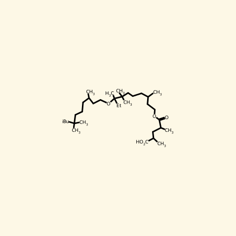 CCC(C)C(C)(C)CCCC(C)CCOC(C)(CC)C(C)(C)CCCC(C)CCOC(=O)C(C)CC(C)C(=O)O